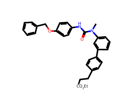 CCOC(=O)CCc1ccc(-c2cccc(N(C)C(=O)Nc3ccc(OCc4ccccc4)cc3)c2)cc1